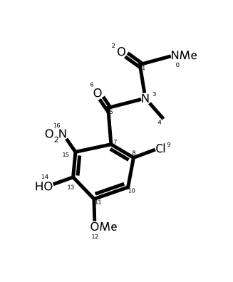 CNC(=O)N(C)C(=O)c1c(Cl)cc(OC)c(O)c1[N+](=O)[O-]